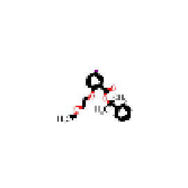 C=COCCOc1ccc(I)cc1C(=O)OC(C)(C)c1ccccc1